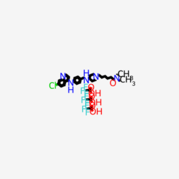 CCN(CC)C(=O)CCCCCN1CCC(NCc2ccc(Nc3ccnc4cc(Cl)ccc34)cc2)CC1.O=C(O)C(F)(F)F.O=C(O)C(F)(F)F.O=C(O)C(F)(F)F